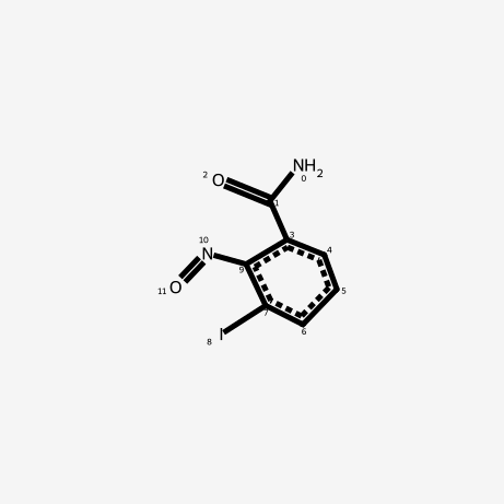 NC(=O)c1cccc(I)c1N=O